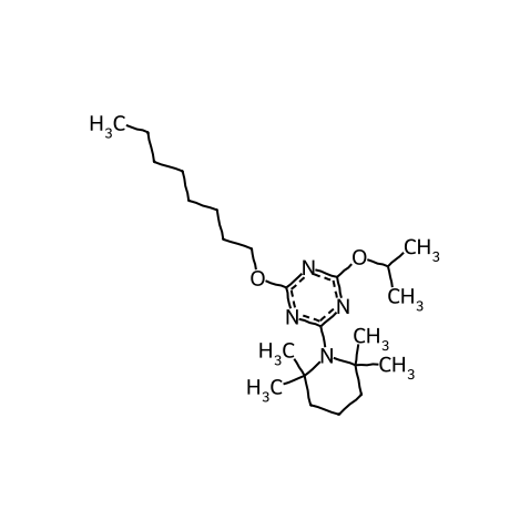 CCCCCCCCOc1nc(OC(C)C)nc(N2C(C)(C)CCCC2(C)C)n1